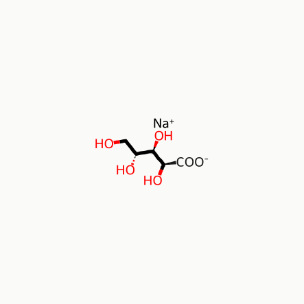 O=C([O-])[C@@H](O)[C@H](O)[C@H](O)CO.[Na+]